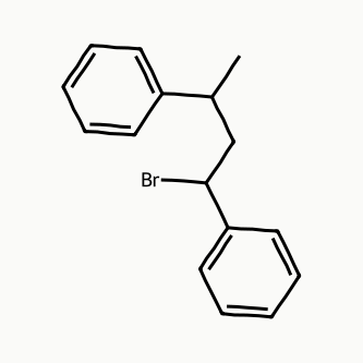 CC(CC(Br)c1ccccc1)c1ccccc1